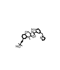 CN1C(=O)[C@@H](NC(=O)c2cc(Cn3cccn3)ccn2)COc2ccc(C#CC(C)(C)O)cc21